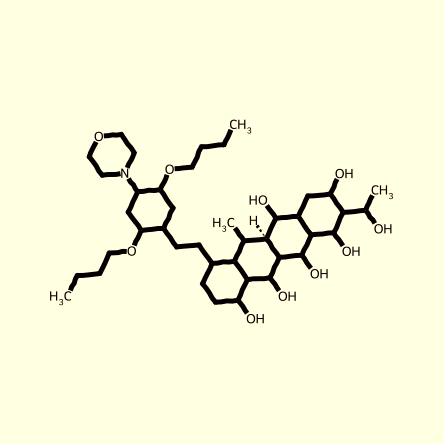 CCCCOC1CC(N2CCOCC2)C(OCCCC)CC1CCC1CCC(O)C2C(O)C3C(O)C4C(O)C(C(C)O)C(O)CC4C(O)[C@@H]3C(C)C12